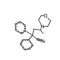 CC(CC(C#N)(c1ccccc1)c1ccccc1)N1CCOCC1